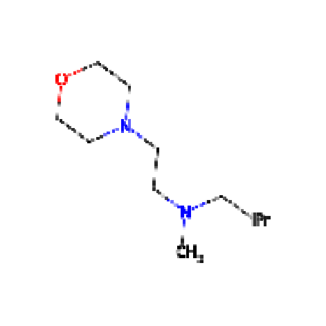 CC(C)CN(C)CCN1CCOCC1